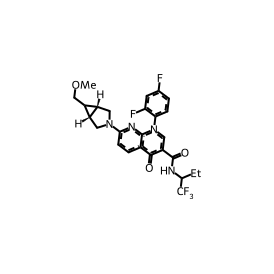 CCC(NC(=O)c1cn(-c2ccc(F)cc2F)c2nc(N3C[C@@H]4C(COC)[C@@H]4C3)ccc2c1=O)C(F)(F)F